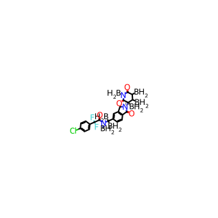 BC1C(=O)N(B)C(=O)[C@@](B)(N2Cc3cc(C(B)(B)N(B)C(=O)C(F)(F)c4ccc(Cl)cc4)ccc3C2=O)C1B